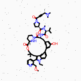 CCn1c(-c2cccnc2COC)c2c3cc(ccc31)-c1cc(O)cc(c1)C[C@H](NC(=O)[C@H](C(C)C)N(C)C(=O)[C@H]1CCN(C(=O)C#C[C@H](C)N(C)C)C1)C(=O)N1CCC[C@H](N1)C(=O)OCC(C)(C)C2